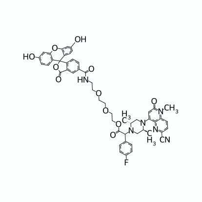 C[C@@H]1CN(c2cc(=O)n(C)c3ccc(C#N)nc23)[C@@H](C)CN1C(C(=O)OCCOCCOCCNC(=O)c1ccc2c(c1)C(=O)OC21c2ccc(O)cc2Oc2cc(O)ccc21)c1ccc(F)cc1